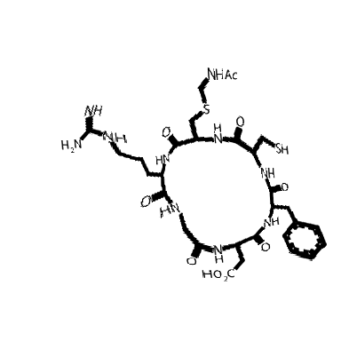 CC(=O)NCSCC1NC(=O)C(CS)NC(=O)C(Cc2ccccc2)NC(=O)C(CC(=O)O)NC(=O)CNC(=O)C(CCCNC(=N)N)NC1=O